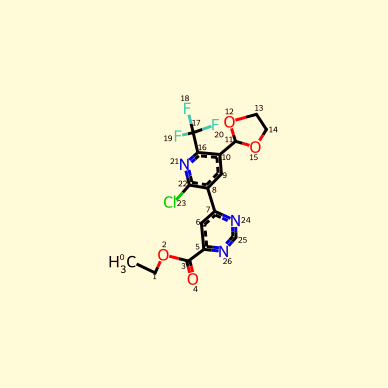 CCOC(=O)c1cc(-c2cc(C3OCCO3)c(C(F)(F)F)nc2Cl)ncn1